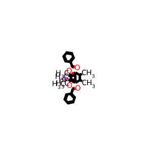 CPC1(OC(=O)c2ccccc2)C2C(C)C(C)C(C(C)C2C)C1(C)OC(=O)c1ccccc1